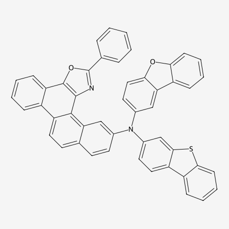 c1ccc(-c2nc3c(o2)c2ccccc2c2ccc4ccc(N(c5ccc6c(c5)sc5ccccc56)c5ccc6oc7ccccc7c6c5)cc4c23)cc1